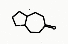 O=C1CCC2CCCC2CC1